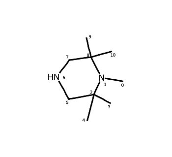 CN1C(C)(C)CNCC1(C)C